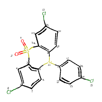 O=S1(=O)c2cc(Cl)ccc2[S+](c2ccc(Cl)cc2)c2ccc(Cl)cc21